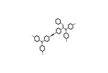 Cc1ccc(N(C(=Cc2ccccc2)c2ccc(C#Cc3ccc(N(c4ccc(C)cc4)c4ccc(C)cc4)cc3)cc2)c2ccc(C)cc2)cc1